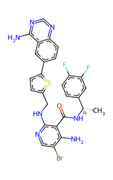 C[C@H](NC(=O)c1c(NCc2ccc(-c3ccc4ncnc(N)c4c3)s2)ncc(Br)c1N)c1ccc(F)c(F)c1